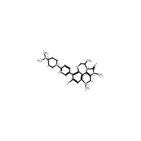 CC1COc2c(-c3ccc(N4CCC(N(C)C)CC4)nc3)c(F)cc3c2-c2c(n(C)c(=O)n21)CN3C